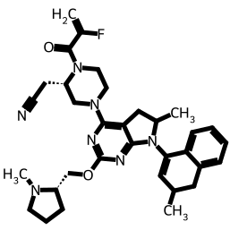 C=C(F)C(=O)N1CCN(c2nc(OC[C@@H]3CCCN3C)nc3c2CC(C)N3C2=CC(C)Cc3ccccc32)C[C@@H]1CC#N